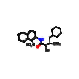 COC(CC1CCCCC1)C(C(C)=O)C(=O)Nc1ccc2ccccc2c1S(=O)(=O)O